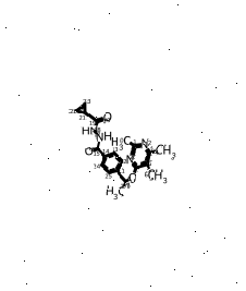 Cc1nc(C)c(C)c(O[C@@H](C)c2ccc(C(=O)NNC(=O)C3CC3)cc2)n1